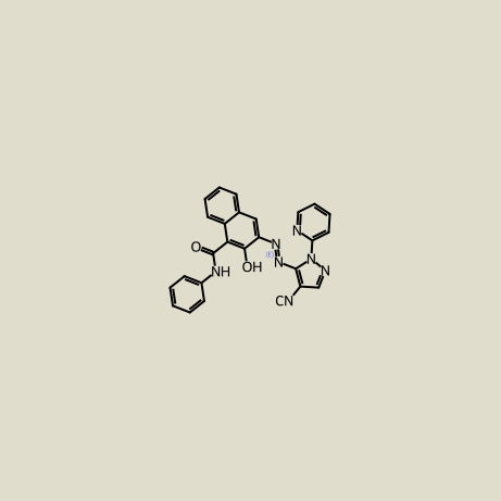 [C-]#[N+]c1cnn(-c2ccccn2)c1/N=N/c1cc2ccccc2c(C(=O)Nc2ccccc2)c1O